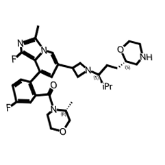 Cc1nc(F)c2c(-c3ccc(F)cc3C(=O)N3CCOC[C@H]3C)cc(C3CN([C@@H](CC[C@H]4CNCCO4)C(C)C)C3)cn12